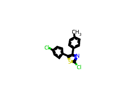 Cc1ccc(-c2nc(Cl)sc2-c2ccc(Cl)cc2)cc1